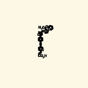 C[C@H](OC1CCCCO1)c1nccn1Cc1cc(-c2ccc(C#Cc3ccc(CCC(=O)O)nc3)cc2)on1